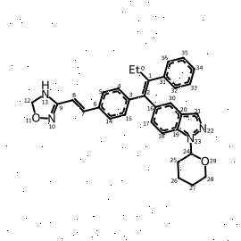 CCC(=C(c1ccc(C=CC2=NOCN2)cc1)c1ccc2c(cnn2C2CCCCO2)c1)c1ccccc1